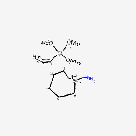 C=C[Si](OC)(OC)OC.N[SiH]1CCCCC1